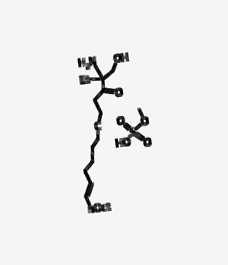 CCCCCCCCC=CCCCCCCCC(=O)C(N)(CC)CO.COS(=O)(=O)O